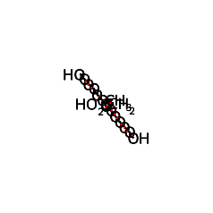 C=C(C)C(=O)O.OCCOCCOCCOCCOCCOCCOCCOCCOCCOCCOCCOCCO